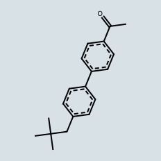 CC(=O)c1ccc(-c2ccc(CC(C)(C)C)cc2)cc1